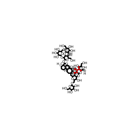 C=C1CC2(C)CCC3[C@](C)(C(=O)OC4OC(CO)C(O)C(OC5OC(CO)C(O)C(O)C5O)C4OC4OC(CO)C(O)C(O)C4O)CCC[C@@]3(C)[C@@H]2CCC1(C)CC1OC(COC2OC(CO)C(O)C(O)C2O)C(O)C(OC2OC(CO)C(O)C(O)C2O)C1OCC(O)C(O)C(O)C(O)CO